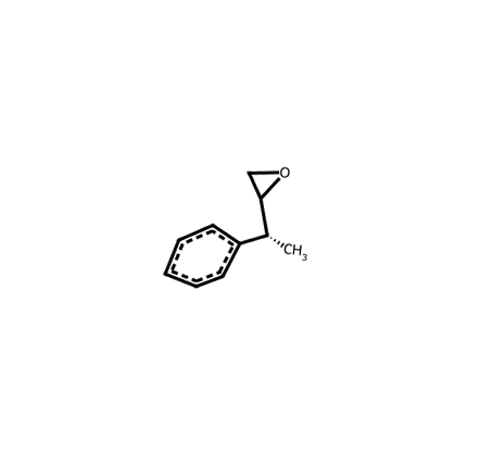 C[C@H](c1ccccc1)C1CO1